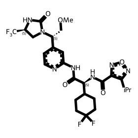 COC[C@H](c1ccnc(NC(=O)[C@@H](NC(=O)c2nonc2C(C)C)C2CCC(F)(F)CC2)c1)N1C[C@@H](C(F)(F)F)NC1=O